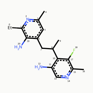 CCc1nc(C)cc(CC(C)c2c(N)cnc(C)c2F)c1N